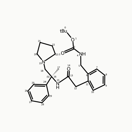 CC(C)(C)OC(=O)NCc1ccccc1CC(=O)N[C@](C)(CN1CCCC1)c1ccccc1